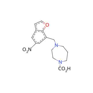 O=C(O)N1CCCN(Cc2cc([N+](=O)[O-])cc3ccoc23)CC1